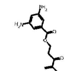 C=C(C)C(=O)CCOC(=O)c1cc(N)cc(N)c1